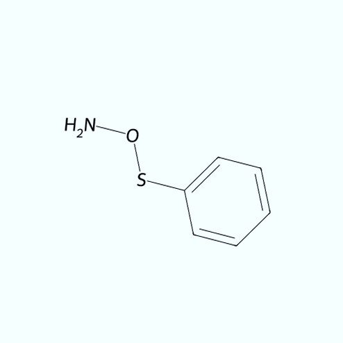 NOSc1ccccc1